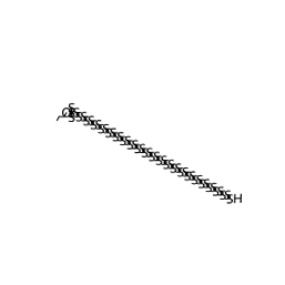 CCCOS(=S)(=S)SSSSSSSSSSSSSSSSSSSSSSSSSSSSSSSSSSSSSSSSSSSS